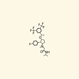 CC(C)NC(=O)CN(C)[C@@H]1CC[C@H](O[C@H](C)c2cc(C(F)(F)F)cc(C(F)(F)F)c2)[C@@H]1c1ccc(F)cc1